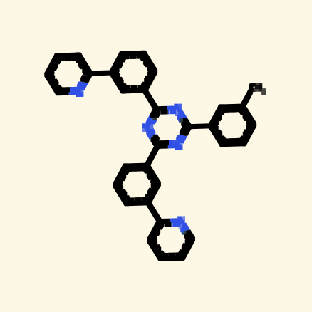 Cc1cccc(-c2nc(-c3cccc(-c4ccccn4)c3)nc(-c3cccc(-c4ccccn4)c3)n2)c1